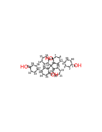 Oc1ccc(-c2ccc(O)c(C(c3ccccc3)(c3ccccc3)c3cc(-c4ccc(O)cc4)ccc3O)c2)cc1